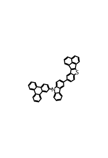 c1cc2c3c(cccc3c1)-c1c-2sc2ccc(-c3ccc4c(c3)c3ccccc3n4-c3ccc4c5ccccc5c5ccccc5c4c3)cc12